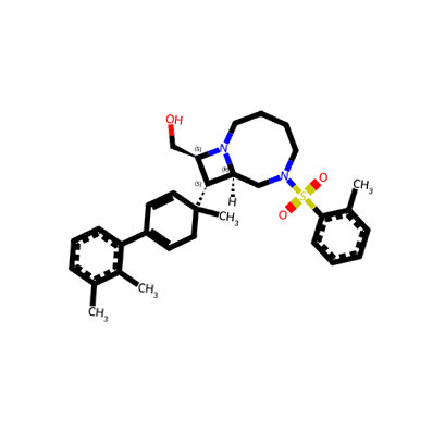 Cc1ccccc1S(=O)(=O)N1CCCCN2[C@H](CO)[C@@H](C3(C)C=CC(c4cccc(C)c4C)=CC3)[C@@H]2C1